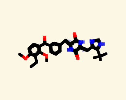 CCc1c(OC)ccc(C(=O)c2cccc(/C=c3\[nH]c(=O)/c(=C/c4nc[nH]c4C(C)(C)C)[nH]c3=O)c2)c1OC